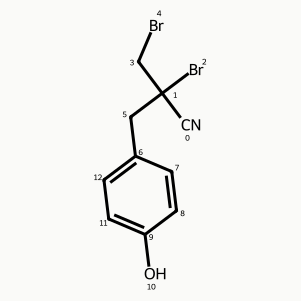 N#CC(Br)(CBr)Cc1ccc(O)cc1